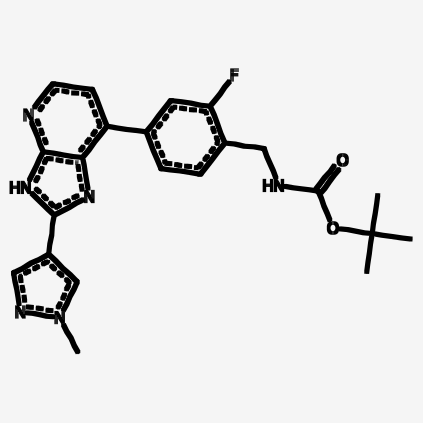 Cn1cc(-c2nc3c(-c4ccc(CNC(=O)OC(C)(C)C)c(F)c4)ccnc3[nH]2)cn1